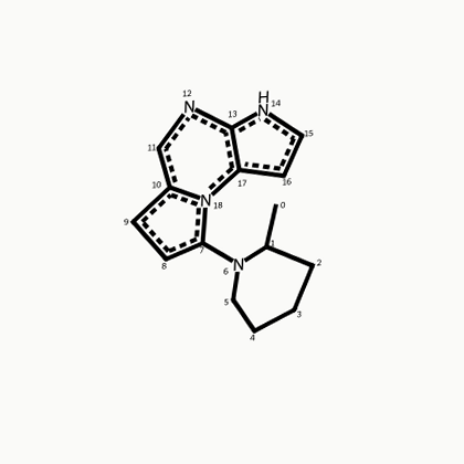 CC1CCCCN1c1ccc2cnc3[nH]ccc3n12